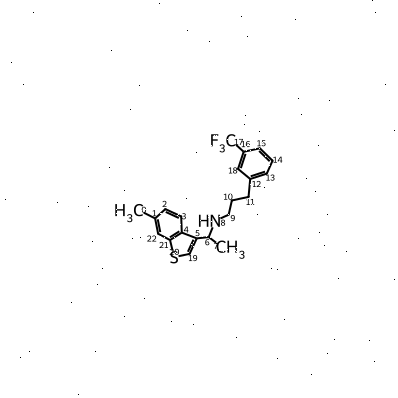 Cc1ccc2c(C(C)NCCCc3cccc(C(F)(F)F)c3)csc2c1